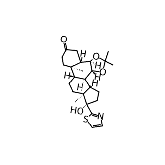 CC1(C)O[C@H]2[C@H](O1)[C@H]1CC(=O)CC[C@]1(C)[C@H]1CC[C@@]3(C)[C@@H](CC[C@@]3(O)c3nccs3)[C@H]21